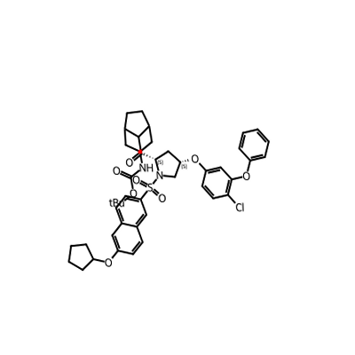 CC(C)(C)OC(=O)NC1CC2CCC(C1)C2C(=O)[C@@H]1C[C@H](Oc2ccc(Cl)c(Oc3ccccc3)c2)CN1S(=O)(=O)c1ccc2cc(OC3CCCC3)ccc2c1